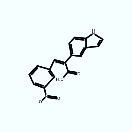 CC(=O)C(=Cc1cccc([N+](=O)[O-])c1)c1ccc2[nH]ccc2c1